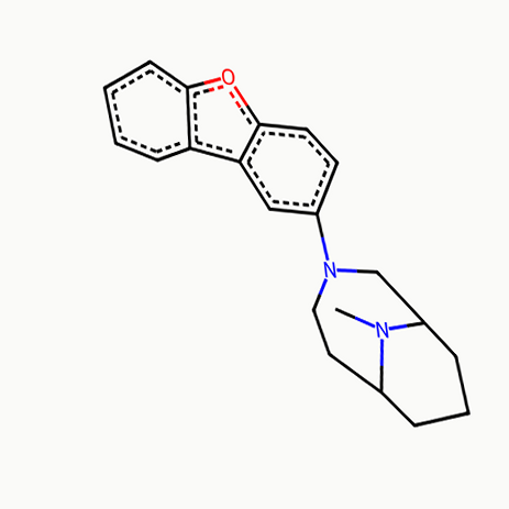 CN1C2CCCC1CN(c1ccc3oc4ccccc4c3c1)CC2